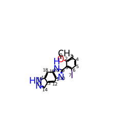 COc1cccc(I)c1-c1nc2cc3cn[nH]c3cc2[nH]1